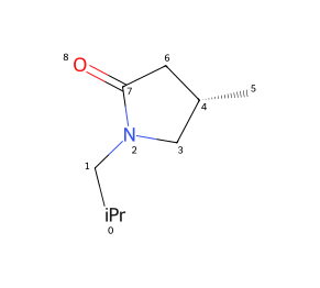 CC(C)CN1C[C@@H](C)CC1=O